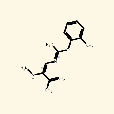 C=C(C)/C(=C\N=C(/C)Oc1ccccc1C)NN